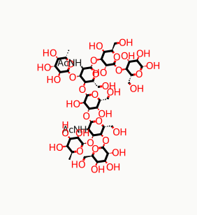 CC(=O)N[C@H]1[C@H](O[C@H]2[C@@H](O)[C@@H](CO)O[C@@H](O[C@H]3[C@H](O[C@@H]4O[C@@H](C)[C@@H](O)[C@@H](O)[C@@H]4O)[C@@H](NC(C)=O)[C@H](O[C@H]4[C@@H](O)[C@@H](CO)O[C@@H](O[C@H]5[C@H](O)[C@@H](O)[C@H](O)O[C@@H]5CO)[C@@H]4O)O[C@@H]3CO)[C@@H]2O)O[C@H](CO)[C@@H](O[C@@H]2O[C@H](CO)[C@H](O)[C@H](O)[C@H]2O)[C@@H]1O[C@@H]1O[C@@H](C)[C@@H](O)[C@@H](O)[C@@H]1O